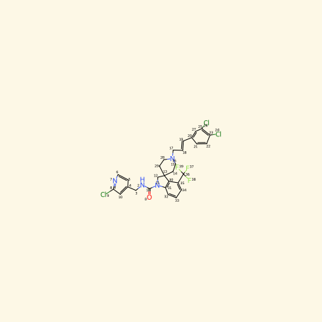 O=C(NCc1ccnc(Cl)c1)N1CC2(CCN(C/C=C/c3ccc(Cl)c(Cl)c3)CC2)c2c1cccc2C(F)(F)F